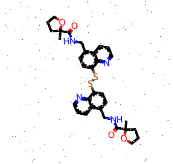 CC1(C(=O)NCc2ccc(SSc3ccc(CNC(=O)C4(C)CCCO4)c4cccnc34)c3ncccc23)CCCO1